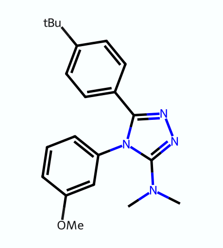 COc1cccc(-n2c(-c3ccc(C(C)(C)C)cc3)nnc2N(C)C)c1